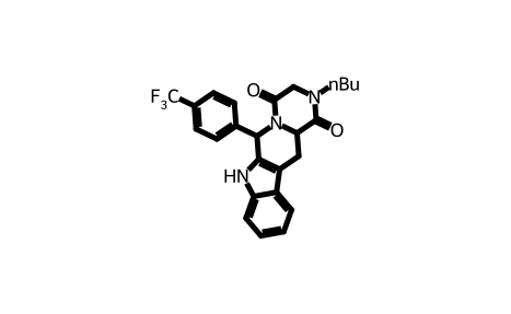 CCCCN1CC(=O)N2C(Cc3c([nH]c4ccccc34)C2c2ccc(C(F)(F)F)cc2)C1=O